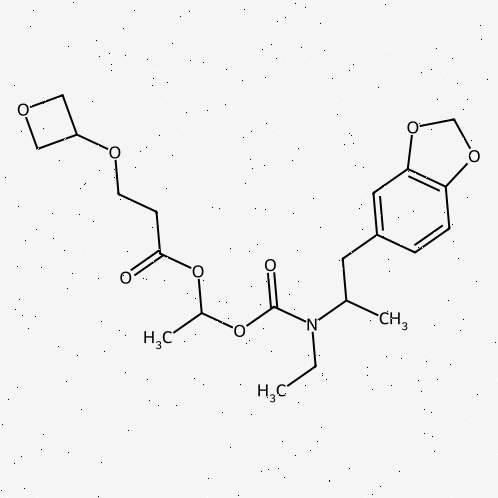 CCN(C(=O)OC(C)OC(=O)CCOC1COC1)C(C)Cc1ccc2c(c1)OCO2